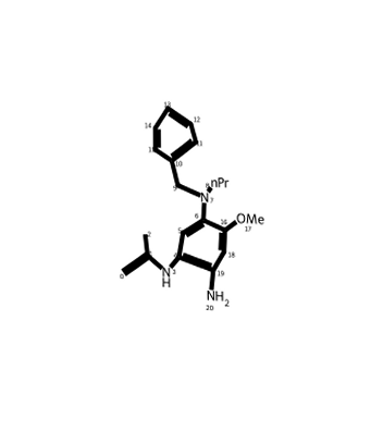 C=C(C)Nc1cc(N(CCC)Cc2ccccc2)c(OC)cc1N